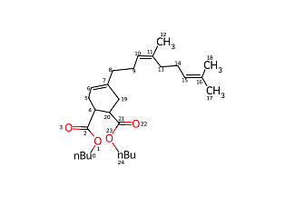 CCCCOC(=O)C1CC=C(CCC=C(C)CCC=C(C)C)CC1C(=O)OCCCC